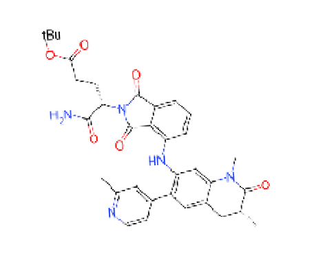 Cc1cc(-c2cc3c(cc2Nc2cccc4c2C(=O)N([C@@H](CCC(=O)OC(C)(C)C)C(N)=O)C4=O)N(C)C(=O)[C@H](C)C3)ccn1